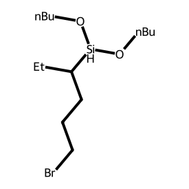 CCCCO[SiH](OCCCC)C(CC)CCCBr